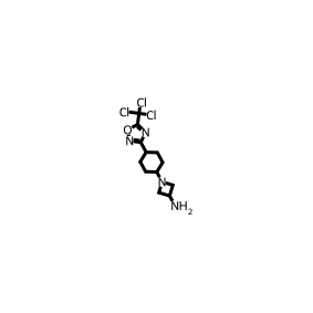 NC1CN(C2CCC(c3noc(C(Cl)(Cl)Cl)n3)CC2)C1